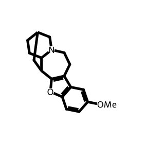 COc1ccc2oc3c(c2c1)CCN1CC2CCC1C3C2